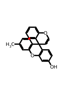 Cc1ccc2c(c1)Oc1cc(O)ccc1C21c2ccccc2Oc2ccccc21